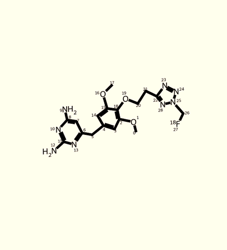 COc1cc(Cc2cc(N)nc(N)n2)cc(OC)c1OCCc1nnn(C[18F])n1